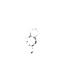 O=Cc1cc2c(nn1)OCC2